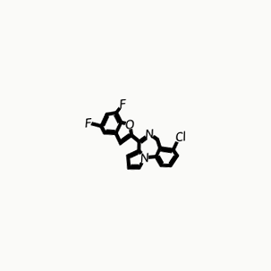 Fc1cc(F)c2oc(C3=NCc4c(Cl)cccc4-n4cccc43)cc2c1